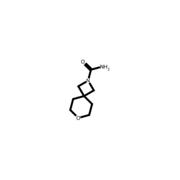 NC(=O)N1CC2(CCOCC2)C1